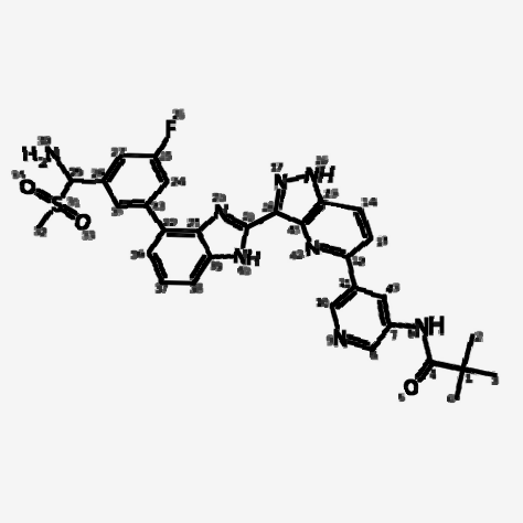 CC(C)(C)C(=O)Nc1cncc(-c2ccc3[nH]nc(-c4nc5c(-c6cc(F)cc(C(N)S(C)(=O)=O)c6)cccc5[nH]4)c3n2)c1